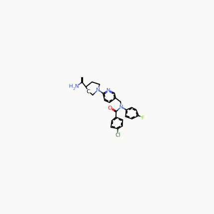 C=C(N)C1CCN(c2ccc(CN(C(=O)c3ccc(Cl)cc3)c3ccc(F)cc3)cn2)CC1